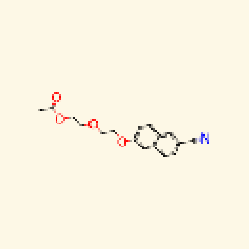 CC(=O)OCCOCCOc1ccc2cc(C#N)ccc2c1